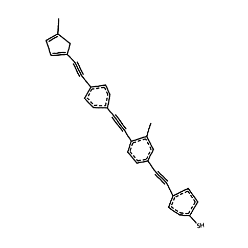 CC1=CC=C(C#Cc2ccc(C#Cc3ccc(C#Cc4ccc(S)cc4)cc3C)cc2)C1